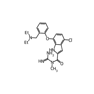 CCN(CC)Cc1ccccc1Oc1ccc(Cl)c2cc(C(=O)N(C)C(=N)N)[nH]c12